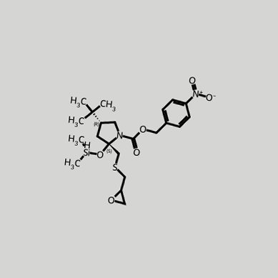 C[SiH](C)O[C@]1(CSCC2CO2)C[C@H](C(C)(C)C)CN1C(=O)OCc1ccc([N+](=O)[O-])cc1